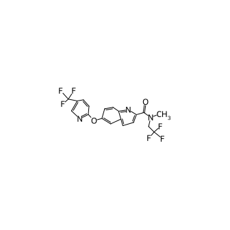 CN(CC(F)(F)F)C(=O)c1ccc2cc(Oc3ccc(C(F)(F)F)cn3)ccc2n1